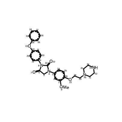 COc1cc(N2CC(=O)N(c3ccc(Oc4ccccc4)cc3)C2=O)ccc1OCCN1CCNCC1